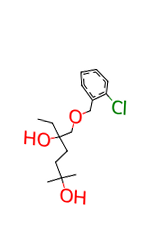 CCC(O)(CCC(C)(C)O)COCc1ccccc1Cl